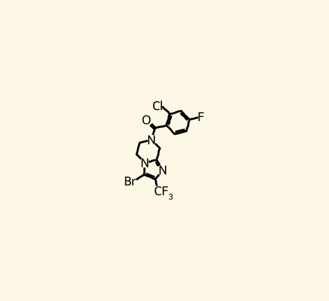 O=C(c1ccc(F)cc1Cl)N1CCn2c(nc(C(F)(F)F)c2Br)C1